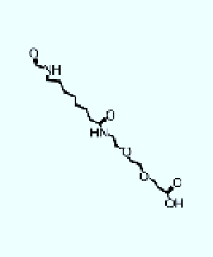 O=CNCCCCCCCC(=O)NCCOCCOCCC(=O)O